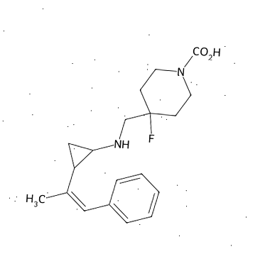 CC(=Cc1ccccc1)C1CC1NCC1(F)CCN(C(=O)O)CC1